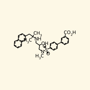 CN(CC(O)CNC(C)(C)Cc1ccc2ccccc2c1)S(=O)(=O)c1ccc(-c2cccc(C(=O)O)c2)cc1